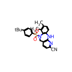 Cc1ccc2c(c1C)N(S(=O)(=O)c1ccc(C(C)(C)C)cc1)Cc1ccc(C#N)nc1N2